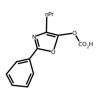 CCCc1nc(-c2ccccc2)oc1OC(=O)O